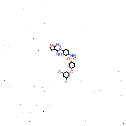 NC1=c2ccoc2=NCN1c1ccc(NS(=O)(=O)c2ccc(Oc3cc(Cl)cc(Cl)c3)cc2)cc1